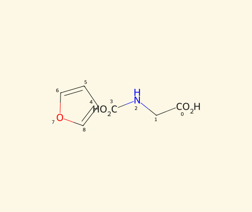 O=C(O)CNC(=O)O.c1ccoc1